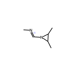 C/N=C/N1C(C)C1C